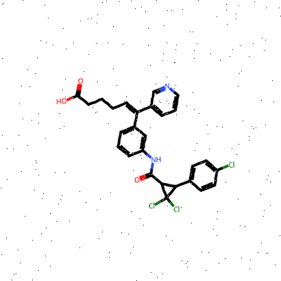 O=C(O)CCCC=C(c1cccnc1)c1cccc(NC(=O)C2C(c3ccc(Cl)cc3)C2(Cl)Cl)c1